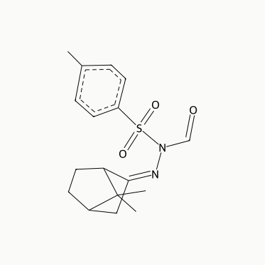 Cc1ccc(S(=O)(=O)N(C=O)/N=C2/CC3CCC2C3(C)C)cc1